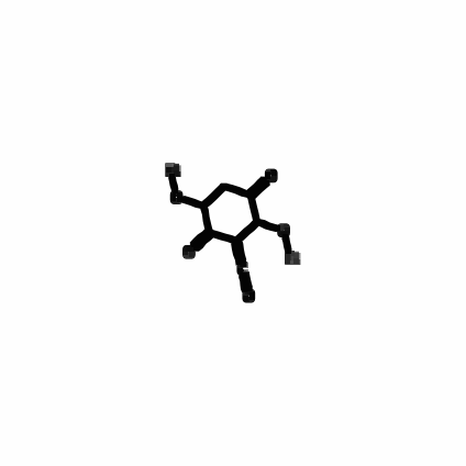 CCOC1CC(=O)C(OCC)C(=C=O)C1=O